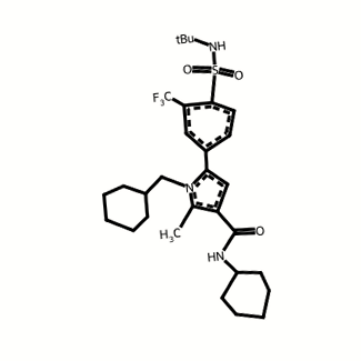 Cc1c(C(=O)NC2CCCCC2)cc(-c2ccc(S(=O)(=O)NC(C)(C)C)c(C(F)(F)F)c2)n1CC1CCCCC1